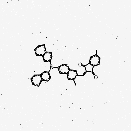 Cc1ccc2c(c1)C(=O)/C(=C\c1cc3ccc(N(c4ccc5ccccc5c4)c4ccc5ccccc5c4)cc3cc1C)C2=O